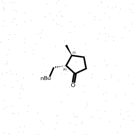 CCCCC[C@H]1C(=O)CC[C@@H]1C